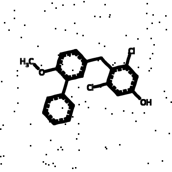 COc1ccc(Cc2c(Cl)cc(O)cc2Cl)cc1-c1ccccc1